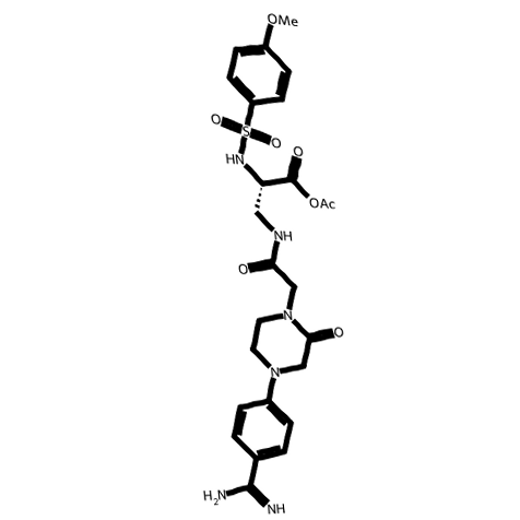 COc1ccc(S(=O)(=O)N[C@@H](CNC(=O)CN2CCN(c3ccc(C(=N)N)cc3)CC2=O)C(=O)OC(C)=O)cc1